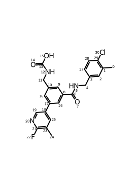 Cc1cc(CNC(=O)c2cc(CNC(=O)O)cc(-c3cnc(F)c(C)c3)c2)ccc1Cl